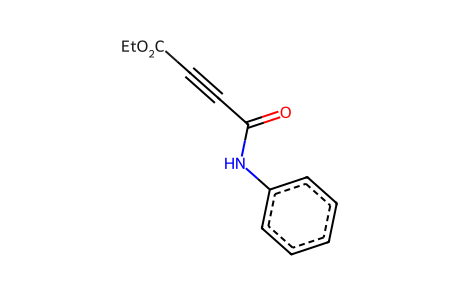 CCOC(=O)C#CC(=O)Nc1ccccc1